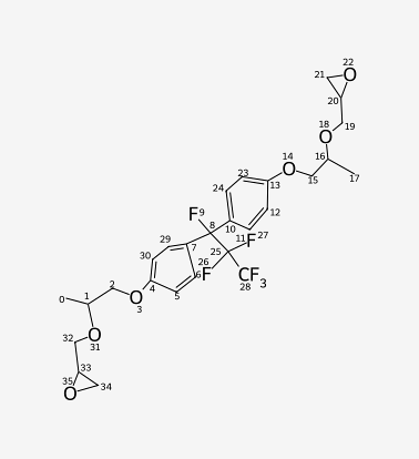 CC(COc1ccc(C(F)(c2ccc(OCC(C)OCC3CO3)cc2)C(F)(F)C(F)(F)F)cc1)OCC1CO1